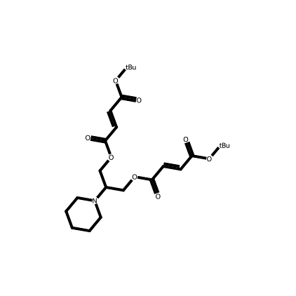 CC(C)(C)OC(=O)/C=C/C(=O)OCC(COC(=O)/C=C/C(=O)OC(C)(C)C)N1CCCCC1